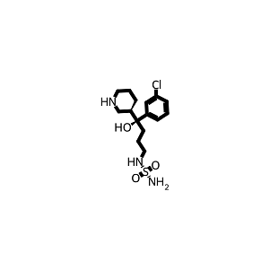 NS(=O)(=O)NCCC[C@@](O)(c1cccc(Cl)c1)[C@@H]1CCCNC1